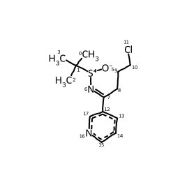 CC(C)(C)[S+]([O-])N=C(CCCCl)c1cccnc1